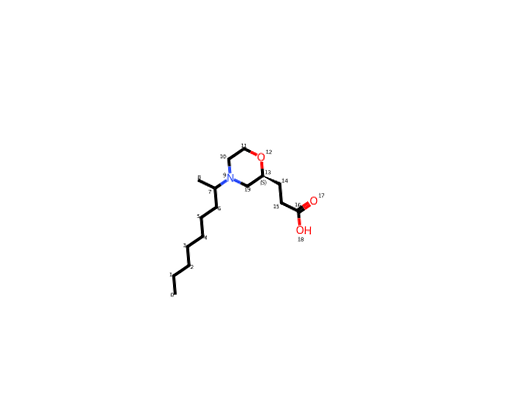 CCCCCCCC(C)N1CCO[C@@H](CCC(=O)O)C1